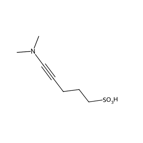 CN(C)C#CCCCS(=O)(=O)O